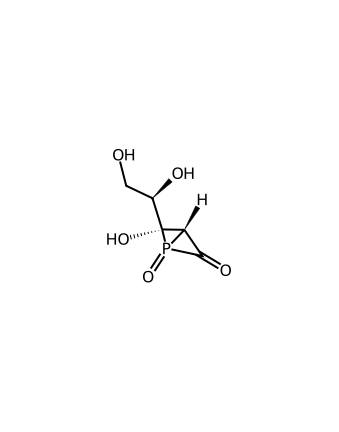 O=C1[C@H]2[C@](O)([C@H](O)CO)P12=O